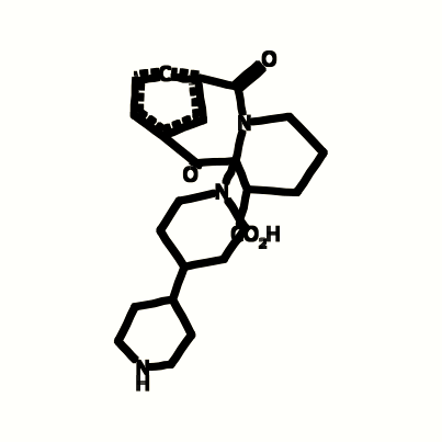 O=C(O)C1CCCN2C(=O)c3cccc(c3)C(=O)C12N1CCC(C2CCNCC2)CC1